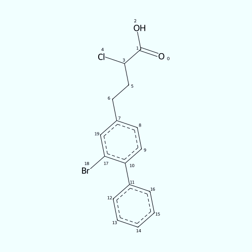 O=C(O)C(Cl)CCc1ccc(-c2ccccc2)c(Br)c1